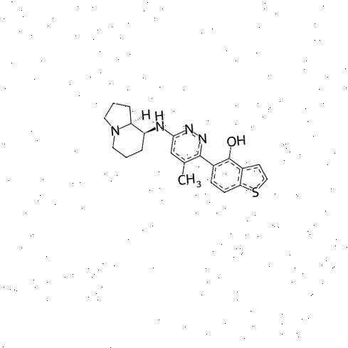 Cc1cc(N[C@H]2CCCN3CCC[C@@H]23)nnc1-c1ccc2sccc2c1O